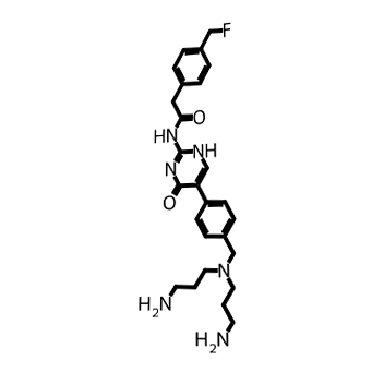 NCCCN(CCCN)Cc1ccc(-c2c[nH]c(NC(=O)Cc3ccc(CF)cc3)nc2=O)cc1